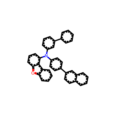 c1ccc(-c2cccc(N(c3ccc(-c4ccc5ccccc5c4)cc3)c3cccc4oc5ccccc5c34)c2)cc1